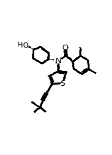 CC1=CCC(C(=O)N(c2csc(C#CC(C)(C)C)c2)[C@H]2CC[C@H](O)CC2)C(C)C1